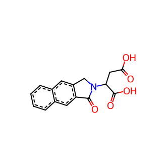 O=C(O)CC(C(=O)O)N1Cc2cc3ccccc3cc2C1=O